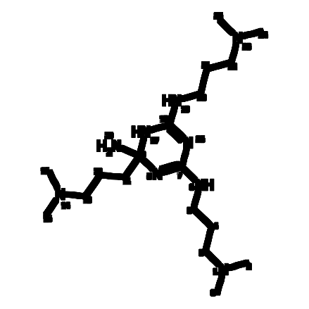 CN(C)CCCNC1=NC(N)(CCCN(C)C)NC(NCCCN(C)C)=N1